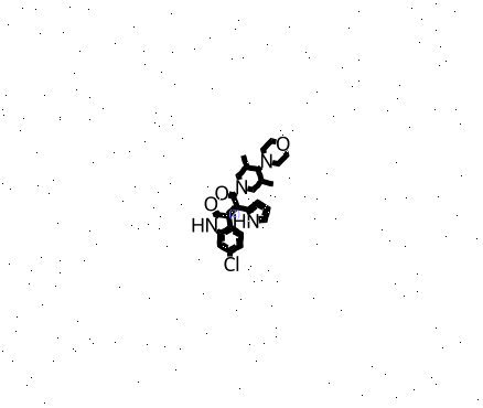 CC1CN(C(=O)/C(=C2\C(=O)Nc3cc(Cl)ccc32)c2ccc[nH]2)CC(C)C1N1CCOCC1